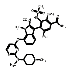 COc1c(C(N)=O)cc(C(C)(C)C)c(-c2c(C(=O)O)n(C)c3c(Oc4ccnc(N(C)C5CCN(C)CC5)n4)cccc23)c1NS(C)(=O)=O